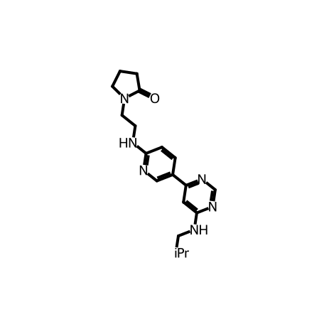 CC(C)CNc1cc(-c2ccc(NCCN3CCCC3=O)nc2)ncn1